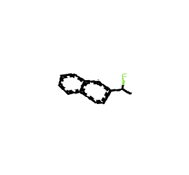 CC(F)c1[c]c2ccccc2cc1